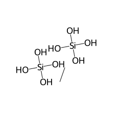 CC.O[Si](O)(O)O.O[Si](O)(O)O